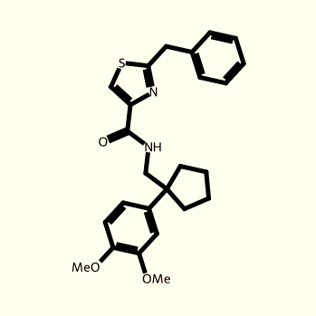 COc1ccc(C2(CNC(=O)c3csc(Cc4ccccc4)n3)CCCC2)cc1OC